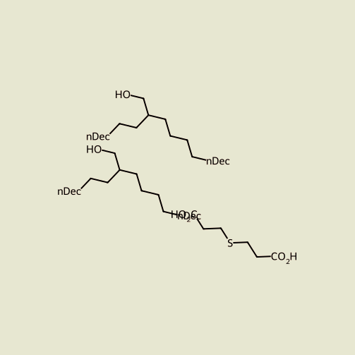 CCCCCCCCCCCCCCC(CO)CCCCCCCCCCCC.CCCCCCCCCCCCCCC(CO)CCCCCCCCCCCC.O=C(O)CCSCCC(=O)O